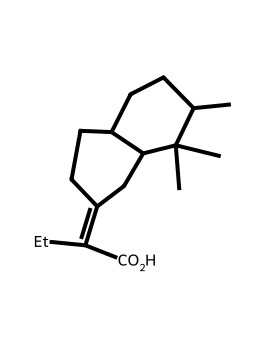 CCC(C(=O)O)=C1CCC2CCC(C)C(C)(C)C2C1